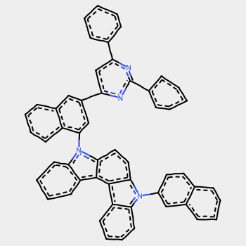 c1ccc(-c2cc(-c3cc(-n4c5ccccc5c5c6c7ccccc7n(-c7ccc8ccccc8c7)c6ccc54)c4ccccc4c3)nc(-c3ccccc3)n2)cc1